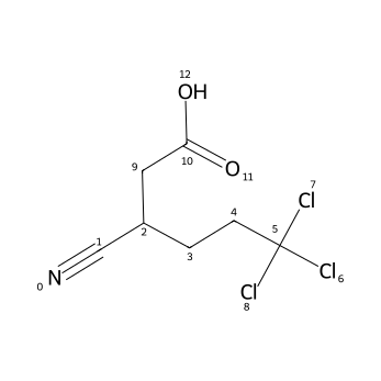 N#CC(CCC(Cl)(Cl)Cl)CC(=O)O